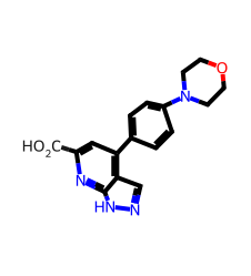 O=C(O)c1cc(-c2ccc(N3CCOCC3)cc2)c2cn[nH]c2n1